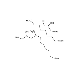 CCCCCCCCCCCCCCCCC(CC(O)CO)C(=O)O.CCCCCCCCCCCCCCCCCC(=O)O.OCC(O)CO